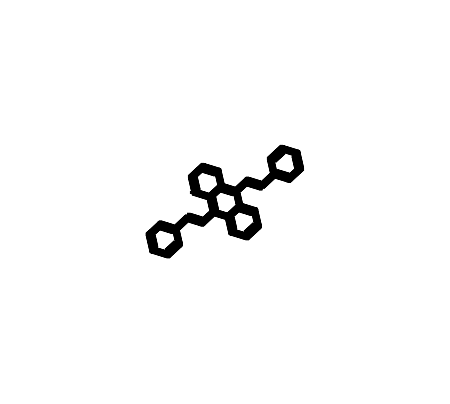 [c]1cccc2c(/C=C/c3ccccc3)c3ccccc3c(/C=C/c3ccccc3)c12